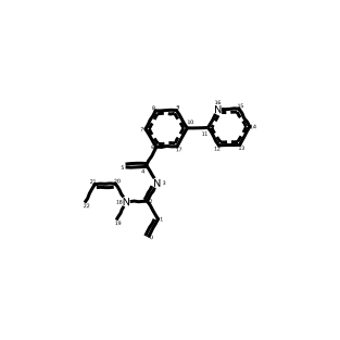 C=C/C(=N/C(=C)c1cccc(-c2ccccn2)c1)N(C)/C=C\C